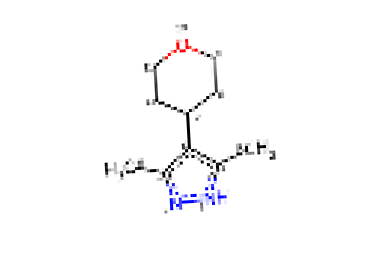 Cc1n[nH]c(C)c1C1CCOCC1